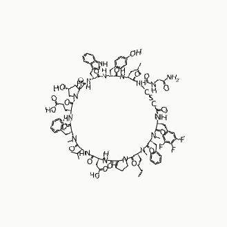 CCCC[C@H]1C(=O)N2CCC[C@@H]2C(=O)N[C@@H](CC(=O)O)C(=O)N[C@@H](C(C)C)C(=O)N(C)[C@@H](Cc2ccccc2)C(=O)N[C@@H](CCC(=O)O)C(=O)N2C[C@@H](O)C[C@@H]2C(=O)N[C@@H](Cc2c[nH]c3ccccc23)C(=O)N[C@@H](Cc2ccc(O)cc2)C(=O)N[C@@H](CC(C)C)C(=O)N[C@H](C(=O)NCC(N)=O)CSCC(=O)N[C@@H](Cc2cc(F)c(F)c(F)c2)C(=O)N(C)[C@@H](Cc2ccccc2)C(=O)N1C